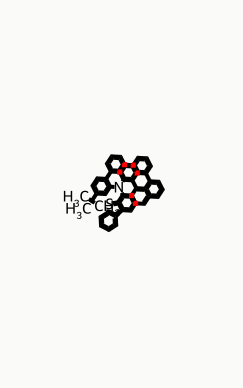 CC(C)(C)c1ccc(-c2ccccc2)c(N(c2ccccc2C2=c3c(-c4ccccc4)cccc3=CCC2)c2cccc3c2sc2ccccc23)c1